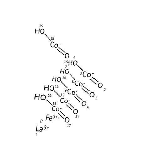 [Fe+3].[La+3].[O]=[Co-][OH].[O]=[Co-][OH].[O]=[Co-][OH].[O]=[Co-][OH].[O]=[Co-][OH].[O]=[Co-][OH]